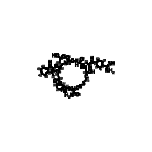 N=C(N)c1ccc(NC(=O)C[C@@H]2NC(O)CCSSCC(C(N)=O)NC(=O)[C@@H]3CCCN3C(=O)[C@H](Cc3c[nH]c4ccccc34)NC(=O)[C@H](CC(=O)O)NC(=O)CNC2=O)cc1